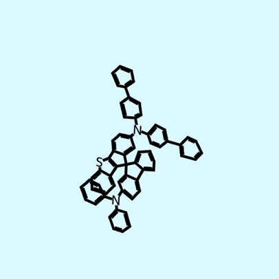 c1ccc(-c2ccc(N(c3ccc(-c4ccccc4)cc3)c3ccc4c(c3)C3(c5ccccc5-c5ccc(N(c6ccccc6)c6ccccc6)cc53)c3c-4sc4ccccc34)cc2)cc1